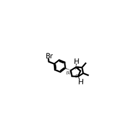 CC1C(C)[C@H]2C[C@@H]1C[C@@H]2c1ccc(CBr)cc1